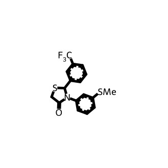 CSc1cccc(N2C(=O)CSC2c2cccc(C(F)(F)F)c2)c1